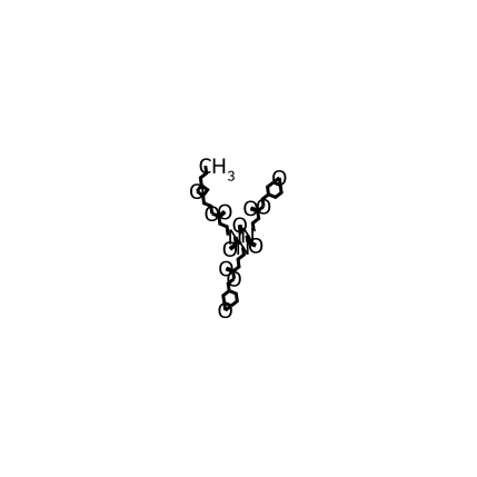 CCCC1CC(CCOC(=O)CCCn2c(=O)n(CCCC(=O)OCC3CCC4OC4C3)c(=O)n(CCCC(=O)OCC3CCC4OC4C3)c2=O)O1